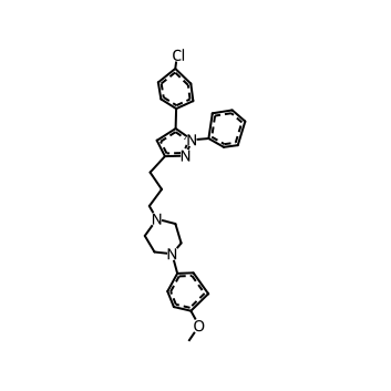 COc1ccc(N2CCN(CCCc3cc(-c4ccc(Cl)cc4)n(-c4ccccc4)n3)CC2)cc1